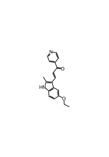 CCOc1ccc2[nH]c(C)c(/C=C/C(=O)c3ccncc3)c2c1